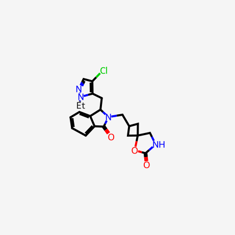 CCn1ncc(Cl)c1CC1c2ccccc2C(=O)N1CC1CC2(CNC(=O)O2)C1